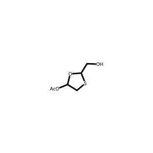 CC(=O)OC1CSC(CO)O1